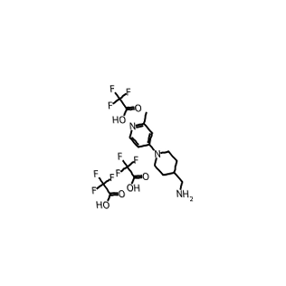 Cc1cc(N2CCC(CN)CC2)ccn1.O=C(O)C(F)(F)F.O=C(O)C(F)(F)F.O=C(O)C(F)(F)F